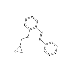 c1ccc(N=Nc2ccccc2OCC2CO2)cc1